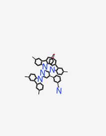 Cc1ccc2c(c1)c1cc(C)ccc1n2-c1cc(-c2cccc(C#N)c2)c(-n2c3ccc(C)cc3c3cc(C)ccc32)c(-n2c3ccc(C)cc3c3cc(C)ccc32)n1